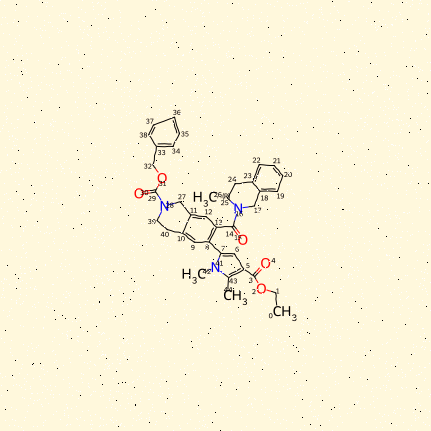 CCOC(=O)c1cc(-c2cc3c(cc2C(=O)N2Cc4ccccc4C[C@H]2C)CN(C(=O)OCc2ccccc2)CC3)n(C)c1C